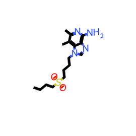 CCCCS(=O)(=O)CCCCn1cnc2c(N)nc(C)c(C)c21